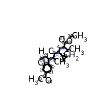 C=C(C)\C(=C/C(=C(C)/C(C)=C(\C=C/C)c1ccc(C(C)=O)cc1)C1CC1)C(=O)OCC